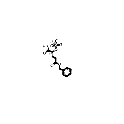 CC(=O)[C@H](CCC(=O)OCc1ccccc1)OS(C)(=O)=O